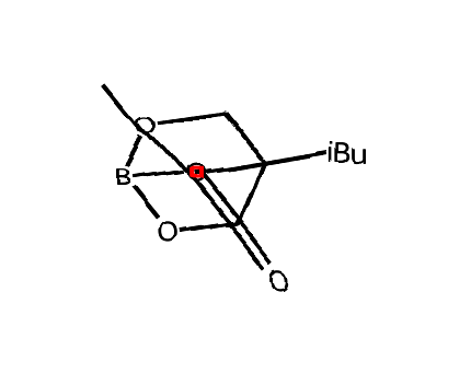 CCC(C)C12COB(OC1)OC2=O